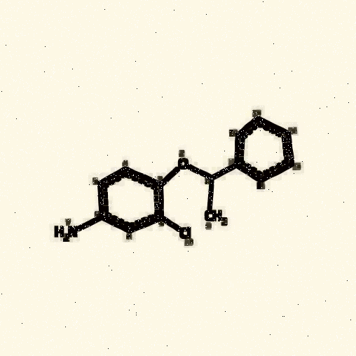 CC(Oc1ccc(N)cc1Cl)c1ccccc1